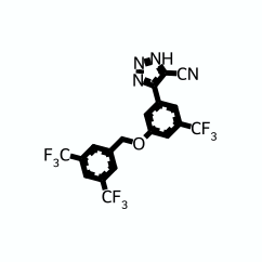 N#Cc1[nH]nnc1-c1cc(OCc2cc(C(F)(F)F)cc(C(F)(F)F)c2)cc(C(F)(F)F)c1